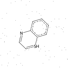 C1=Nc2ccccc2[SH]=C1